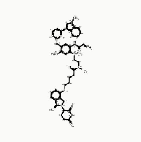 C=CC(=O)Nc1cc(Nc2nccc(-c3cn(C)c4ccccc34)n2)c(OC)cc1N(C)CCN(C)C(=O)CCCCSc1cccc2c1CN(C1CCC(=O)NC1=O)C2=O